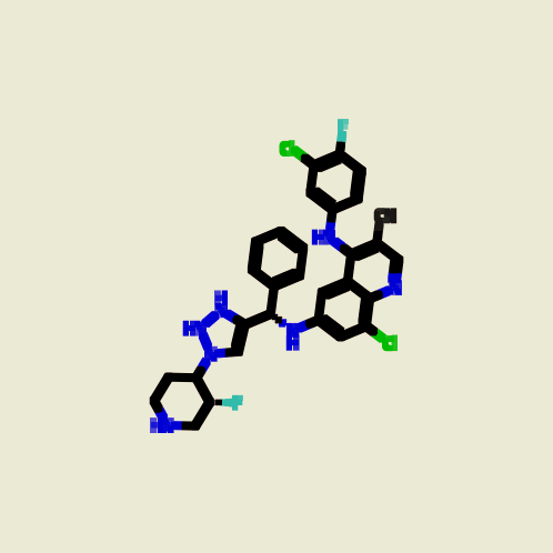 N#Cc1cnc2c(Cl)cc(N[C@H](C3=CN(C4CCNC[C@H]4F)NN3)c3ccccc3)cc2c1Nc1ccc(F)c(Cl)c1